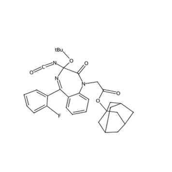 CC(C)(C)OC1(N=C=O)N=C(c2ccccc2F)c2ccccc2N(CC(=O)OC23CC4CC(CC(C4)C2)C3)C1=O